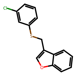 Clc1cccc(SCc2coc3ccccc23)c1